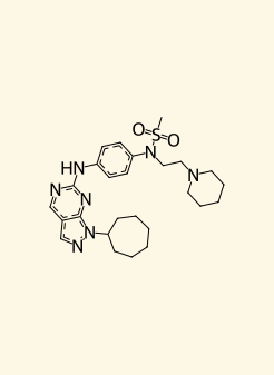 CS(=O)(=O)N(CCN1CCCCC1)c1ccc(Nc2ncc3cnn(C4CCCCCC4)c3n2)cc1